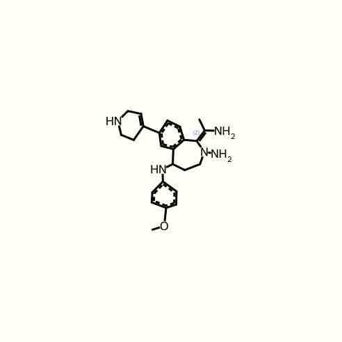 COc1ccc(NC2CCN(N)/C(=C(/C)N)c3ccc(C4=CCNCC4)cc32)cc1